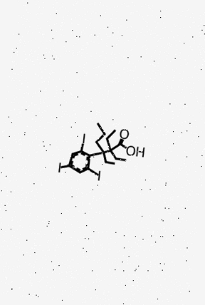 CCCC(CC)(c1c(I)cc(I)cc1I)C(CC)(CC)C(=O)O